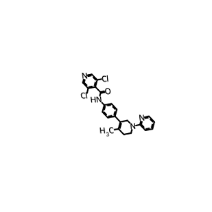 CC1=C(c2ccc(NC(=O)c3c(Cl)cncc3Cl)cc2)CN(c2ccccn2)CC1